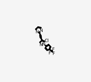 FC(F)(F)c1ccc(-n2ncc(C#Cc3ncccn3)c2Cl)cc1